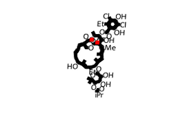 CCc1c(Cl)c(O)c(Cl)c(O)c1C(=O)OC1C(C)OC(OC/C2=C\C=C\CC(O)/C(C)=C/C(CC)C(OC3OC(C)(C)C(OC(=O)C(C)C)C(O)C3O)/C(C)=C/C(C)=C/CC(C(C)=O)OC2=O)C(OC)C1O